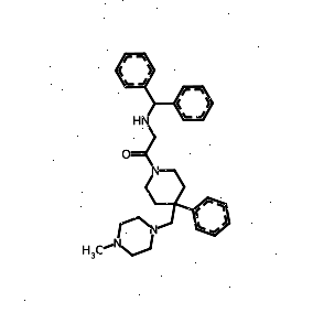 CN1CCN(CC2(c3ccccc3)CCN(C(=O)CNC(c3ccccc3)c3ccccc3)CC2)CC1